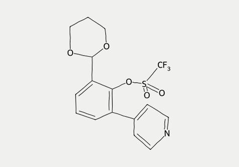 O=S(=O)(Oc1c(-c2ccncc2)cccc1C1OCCCO1)C(F)(F)F